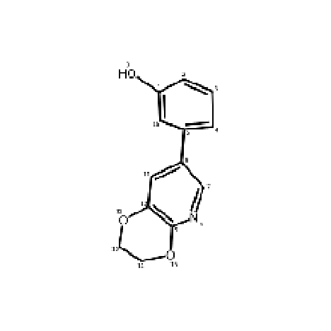 Oc1cccc(-c2cnc3c(c2)OCCO3)c1